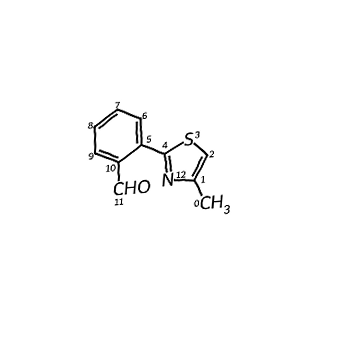 Cc1csc(-c2ccccc2C=O)n1